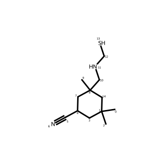 CC1(C)CC(C#N)CC(C)(CNCS)C1